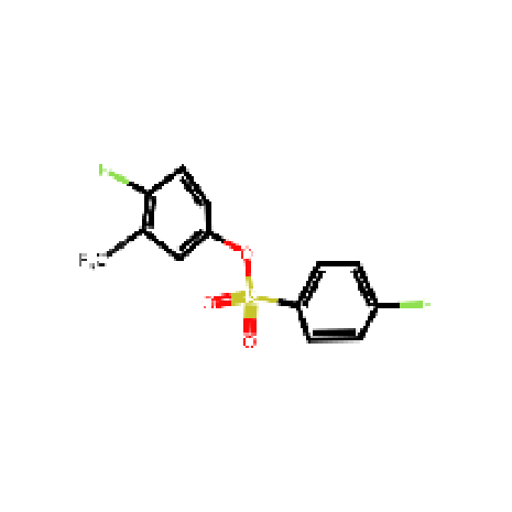 O=S(=O)(Oc1ccc(F)c(C(F)(F)F)c1)c1ccc(F)cc1